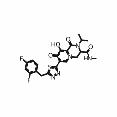 CNC(=O)C1Cn2cc(-c3nnc(Cc4ccc(F)cc4F)s3)c(=O)c(O)c2C(=O)N1C(C)C